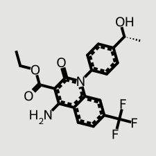 CCOC(=O)c1c(N)c2ccc(C(F)(F)F)cc2n(-c2ccc([C@@H](C)O)cc2)c1=O